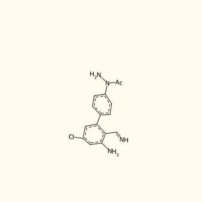 CC(=O)N(N)c1ccc(-c2cc(Cl)cc(N)c2C=N)cc1